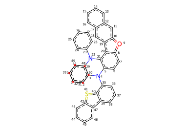 c1ccc(N(c2ccc3oc4cc5ccccc5cc4c3c2N(c2ccccc2)c2ccccc2)c2cccc3c2sc2ccccc23)cc1